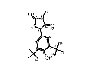 CN1C(=O)SC(c2cc(C(C)(C)C)c(O)c(C(C)(C)C)c2)C1=O